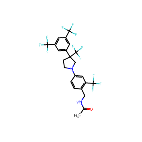 CC(=O)NCc1ccc(N2CCC(c3cc(C(F)(F)F)cc(C(F)(F)F)c3)(C(F)(F)F)C2)cc1C(F)(F)F